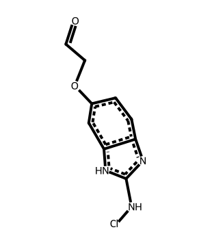 O=CCOc1ccc2nc(NCl)[nH]c2c1